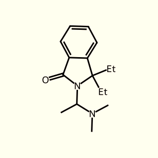 CCC1(CC)c2ccccc2C(=O)N1C(C)N(C)C